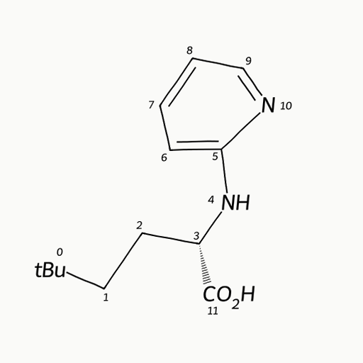 CC(C)(C)CC[C@H](Nc1ccccn1)C(=O)O